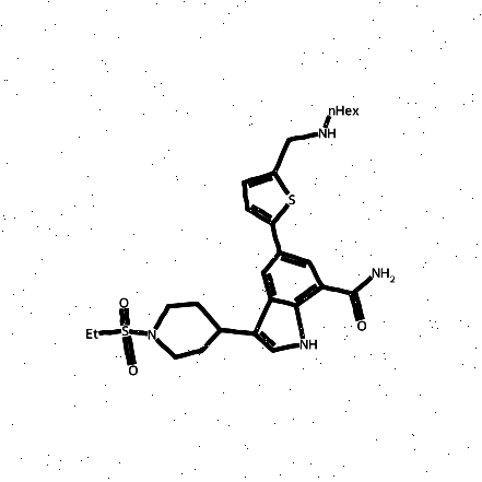 CCCCCCNCc1ccc(-c2cc(C(N)=O)c3[nH]cc(C4CCN(S(=O)(=O)CC)CC4)c3c2)s1